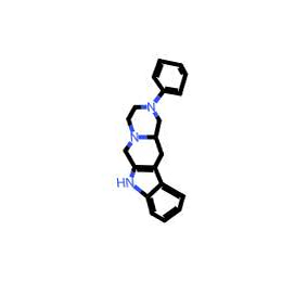 c1ccc(N2CCN3Cc4[nH]c5ccccc5c4CC3C2)cc1